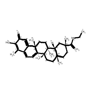 C=C(NCC)[C@]1(C)CC[C@]2(C)CC[C@]3(C)C4=CC=C5C(=CC(=O)C(O)=C5C)[C@]4(C)CC[C@@]3(C)[C@@H]2C1